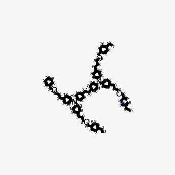 C=Cc1ccc(COCCCc2ccc(N(c3ccc(CCCOCc4ccccc4)cc3)c3ccc(CCc4ccc(N(c5ccc(CCCOCC(=C)/C=C\C(=C)CC)cc5)c5ccc(CCCOCc6ccc(CC)cc6)cc5)cc4)cc3)cc2)cc1